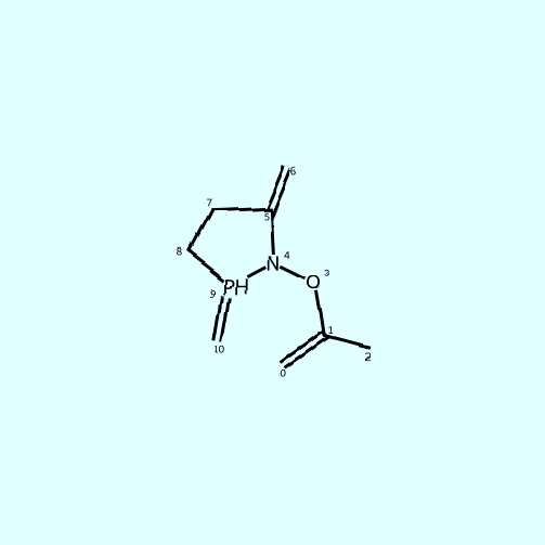 C=C(C)ON1C(=C)CC[PH]1=C